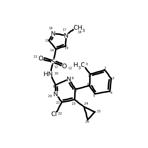 Cc1ccccc1-c1nc(NS(=O)(=O)c2cnn(C)c2)nc(Cl)c1C1CC1